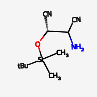 CC(C)(C)[Si](C)(C)O[C@H](C#N)C(N)C#N